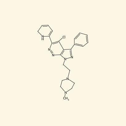 CN1CCN(CCn2nc(-c3ccccc3)c3c(Cl)c(C4=CC=CCN4)nnc32)CC1